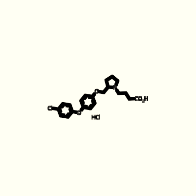 Cl.O=C(O)CCCN1CCCC1COc1ccc(Oc2ccc(Cl)cc2)cc1